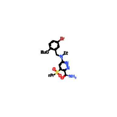 CCCS(=O)(=O)c1cc(N(CC)Cc2cc(Br)ccc2OCC(C)C)nnc1C(N)=O